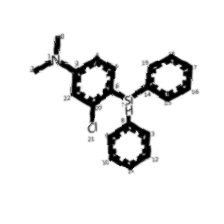 CN(C)c1ccc([SiH](c2ccccc2)c2ccccc2)c(Cl)c1